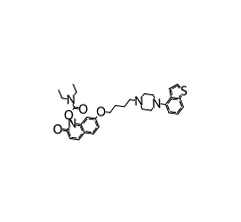 CCN(CC)C(=O)On1c(=O)ccc2ccc(OCCCCN3CCN(c4cccc5sccc45)CC3)cc21